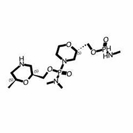 CN[PH](=O)OC[C@@H]1CN(P(=O)(OC[C@@H]2CNC[C@H](C)O2)N(C)C)CCO1